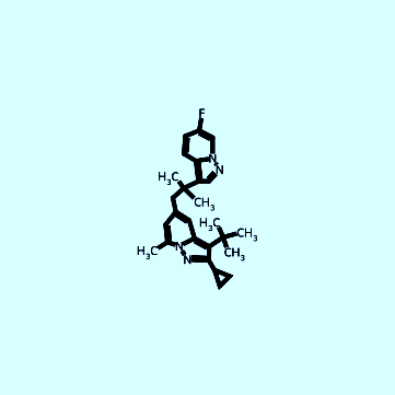 Cc1cc(CC(C)(C)c2cnn3cc(F)ccc23)cc2c(C(C)(C)C)c(C3CC3)nn12